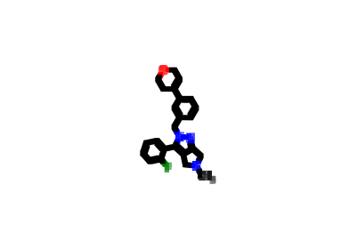 CN1Cc2nn(Cc3cccc(C4=CCOCC4)c3)c(-c3ccccc3F)c2C1